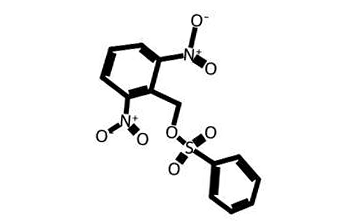 O=[N+]([O-])c1cccc([N+](=O)[O-])c1COS(=O)(=O)c1ccccc1